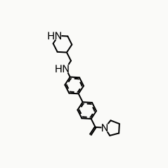 C=C(c1ccc(-c2ccc(NCC3CCNCC3)cc2)cc1)N1CCCC1